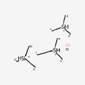 C[SiH](C)C.C[SiH](C)C.C[SiH](C)C.[B]